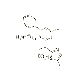 Cc1cnc(C(CC(=O)O)c2cc(F)cc(-c3ccccc3C(N)=O)c2)s1